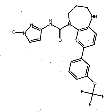 Cn1ccc(NC(=O)N2CCCNc3ccc(-c4cccc(OC(F)(F)F)c4)nc32)n1